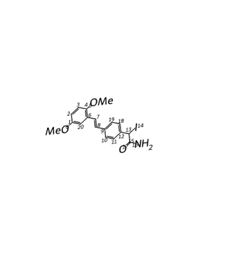 COc1ccc(OC)c(C=Cc2ccc(C(I)C(N)=O)cc2)c1